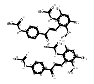 CCc1cc(CC)c(OC(C)C)c(C=CC(=O)c2ccc(OC(=O)C(C)(C)C)cc2)c1OC(=O)C(C)(C)C.Cc1cc(C)c(OC(C)C)c(C=CC(=O)c2ccc(OC(=O)C(C)(C)C)cc2)c1OC(=O)C(C)(C)C